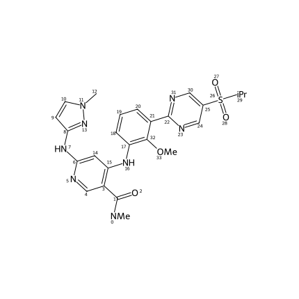 CNC(=O)c1cnc(Nc2ccn(C)n2)cc1Nc1cccc(-c2ncc(S(=O)(=O)C(C)C)cn2)c1OC